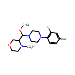 O=COC(C1COCCN1C(=O)O)N1CCN(c2ccc(F)cc2F)CC1